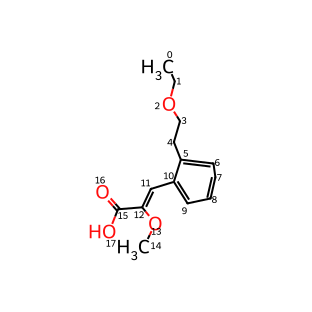 CCOCCc1ccccc1C=C(OC)C(=O)O